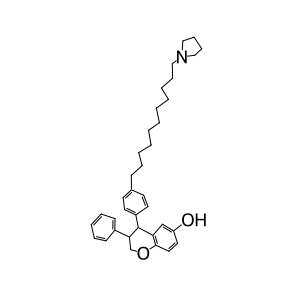 Oc1ccc2c(c1)C(c1ccc(CCCCCCCCCCCN3CCCC3)cc1)C(c1ccccc1)CO2